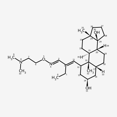 CCC(/C=N/OCCN(C)C)=C\C1C[C@H](O)C[C@H]2CC[C@@H]3[C@H](CC[C@]4(C)CCC[C@]34O)[C@@]12C